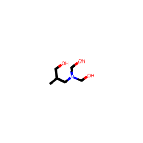 CC(CO)CN(CO)CO